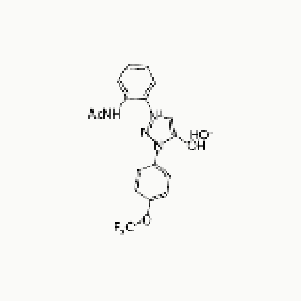 CC(=O)Nc1ccccc1-[n+]1cc(O)n(-c2ccc(OC(F)(F)F)cc2)n1.[OH-]